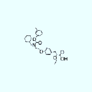 CCOC(Cc1ccc(OCCN(CC2CCCCC2)C(=O)Oc2cccc(C)c2)cc1)C(=O)O